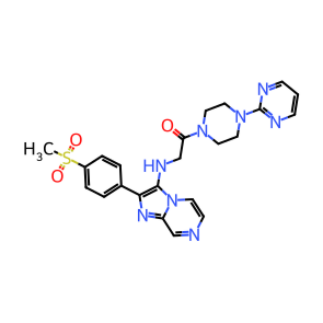 CS(=O)(=O)c1ccc(-c2nc3cnccn3c2NCC(=O)N2CCN(c3ncccn3)CC2)cc1